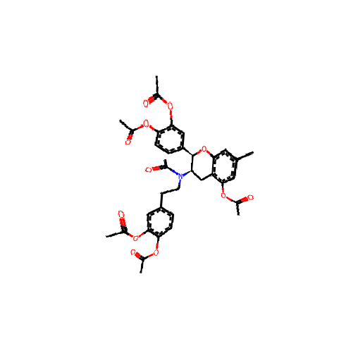 CC(=O)Oc1ccc(CCN(C(C)=O)[C@@H]2Cc3c(OC(C)=O)cc(C)cc3O[C@@H]2c2ccc(OC(C)=O)c(OC(C)=O)c2)cc1OC(C)=O